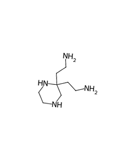 NCCC1(CCN)CNCCN1